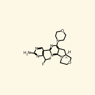 Nc1ncc(-c2nc(N3CCOCC3)c3c(n2)N2CCOC[C@@H]2C3)c(C(F)F)n1